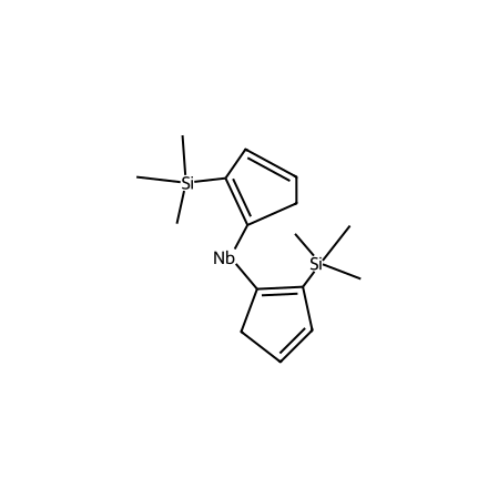 C[Si](C)(C)C1=[C]([Nb][C]2=C([Si](C)(C)C)C=CC2)CC=C1